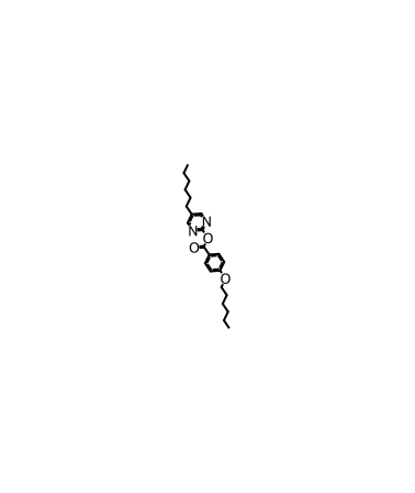 CCCCCCOc1ccc(C(=O)Oc2ncc(CCCCCC)cn2)cc1